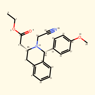 CCOC(=O)C[C@H]1Cc2ccccc2[C@@H](c2ccc(OC)cc2)N1CC#N